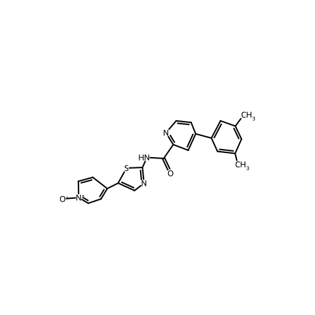 Cc1cc(C)cc(-c2ccnc(C(=O)Nc3ncc(-c4cc[n+]([O-])cc4)s3)c2)c1